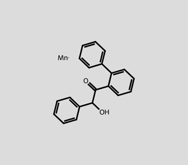 O=C(c1ccccc1-c1ccccc1)C(O)c1ccccc1.[Mn]